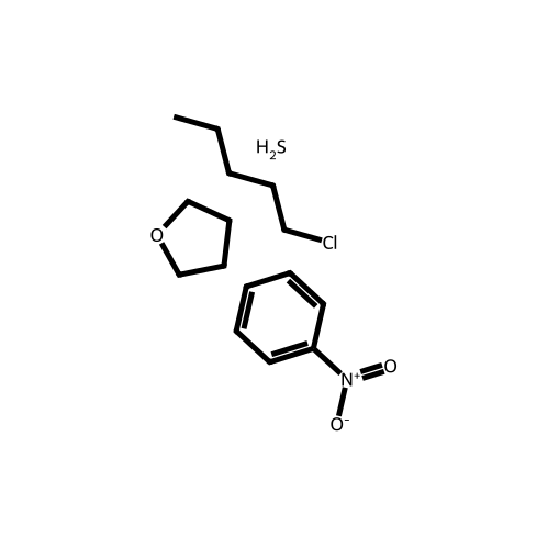 C1CCOC1.CCCCCCl.O=[N+]([O-])c1ccccc1.S